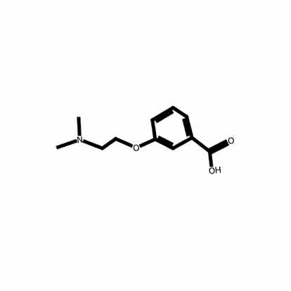 CN(C)CCOc1cccc(C(=O)O)c1